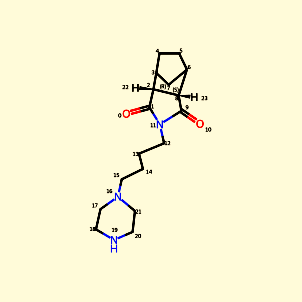 O=C1[C@@H]2C3CCC(C3)[C@@H]2C(=O)N1CCCCN1CCNCC1